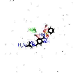 COc1ccccc1S(=O)(=O)Nc1n[nH]c2cc(Cn3cc(CN)cn3)cc(OC)c12.Cl.Cl